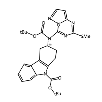 CSc1nc(N(C(=O)OC(C)(C)C)[C@@H]2CCc3c(c4ccccc4n3C(=O)OC(C)(C)C)C2)n2nccc2n1